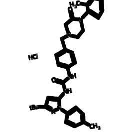 Cc1ccc(-n2nc(C(C)(C)C)cc2NC(=O)Nc2ccc(CN3CCN(c4ccccc4C)C(=O)C3)cc2)cc1.Cl